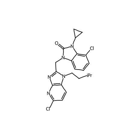 CC(C)CCn1c(Cn2c(=O)n(C3CC3)c3c(Cl)cccc32)nc2nc(Cl)ccc21